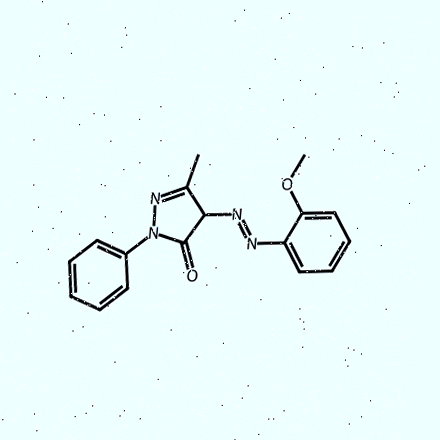 COc1ccccc1N=NC1C(=O)N(c2ccccc2)N=C1C